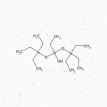 CC[Si](CC)(CC)O[Si](O)(CC)O[Si](CC)(CC)CC